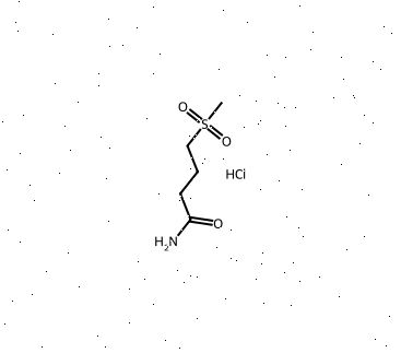 CS(=O)(=O)CCCC(N)=O.Cl